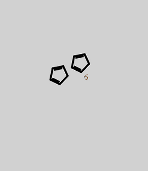 C1=CCC=C1.C1=CCC=C1.[S]